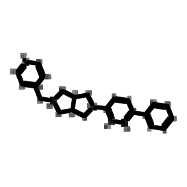 c1ccc(-c2ccc(N3CC4CN(Cc5ccncc5)CC4C3)nn2)cc1